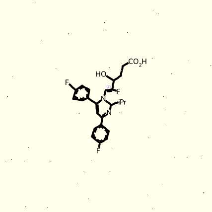 CC(C)C1N=C(c2ccc(F)cc2)C=C(c2ccc(F)cc2)N1/C=C(\F)C(O)CCC(=O)O